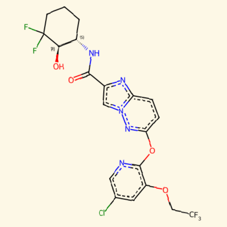 O=C(N[C@H]1CCCC(F)(F)[C@@H]1O)c1cn2nc(Oc3ncc(Cl)cc3OCC(F)(F)F)ccc2n1